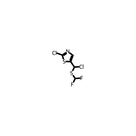 FC(F)SC(Cl)c1cnc(Cl)s1